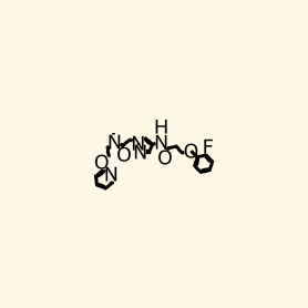 CN(CCOc1ccccn1)C(=O)Cn1cc(NC(=O)CCOc2ccccc2F)cn1